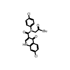 CC(C)(C)C(=O)CN(C(=O)c1c[nH]c2cc(Cl)ccc2c1=O)c1ccc(Cl)cc1